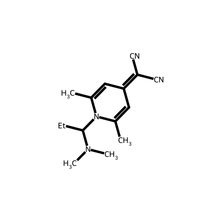 CCC(N(C)C)N1C(C)=CC(=C(C#N)C#N)C=C1C